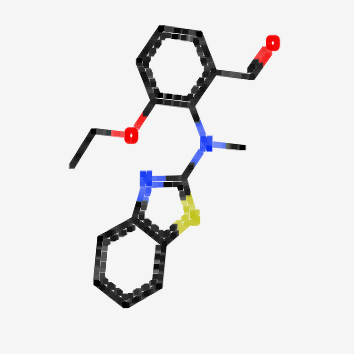 CCOc1cccc(C=O)c1N(C)c1nc2ccccc2s1